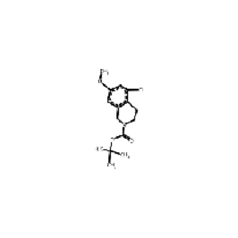 COc1cc(Cl)c2c(c1)CN(C(=O)OC(C)(C)C)CC2